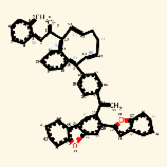 C=C(/C=c1/ccccc1=C)C1=c2\cccc\c2=C(c2ccc(C(=C)c3cc4c(cc3-c3cc5ccccc5o3)oc3ccccc34)cc2)\C=C\CC\C=C\1